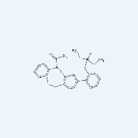 CC[N+]([O-])(CC)Cc1ccccc1-c1ccc2c(c1)CN(C(C)=O)c1ccccc1CC2